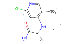 C[C@@H](Nc1cc(Cl)ncc1[N+](=O)[O-])C(N)=O